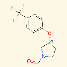 O=CN1CC[C@@H](Oc2ccc(C(F)(F)F)cc2)C1